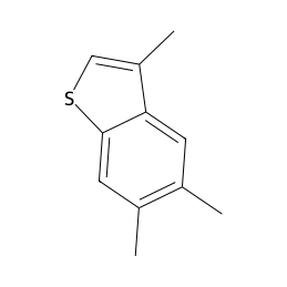 Cc1cc2scc(C)c2cc1C